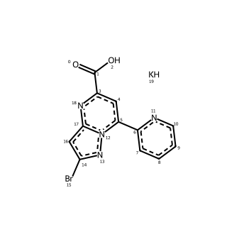 O=C(O)c1cc(-c2ccccn2)n2nc(Br)cc2n1.[KH]